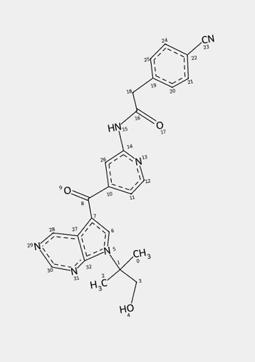 CC(C)(CO)n1cc(C(=O)c2ccnc(NC(=O)Cc3ccc(C#N)cc3)c2)c2cncnc21